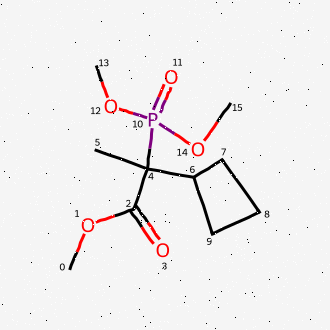 COC(=O)C(C)(C1CCC1)P(=O)(OC)OC